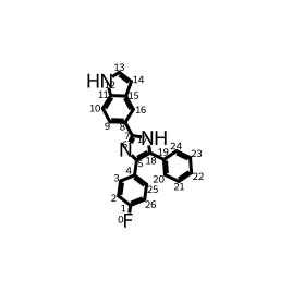 Fc1ccc(-c2nc(-c3ccc4[nH]ccc4c3)[nH]c2-c2ccccc2)cc1